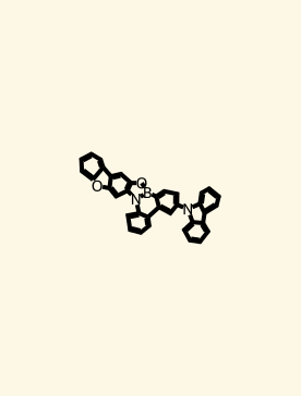 c1ccc2c(c1)-c1cc(-n3c4ccccc4c4ccccc43)ccc1B1Oc3cc4c(cc3N12)oc1ccccc14